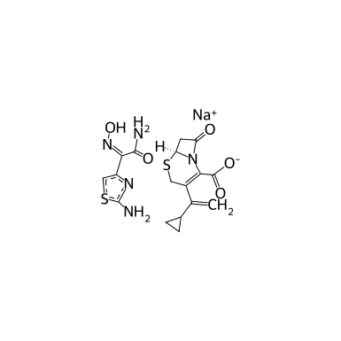 C=C(C1=C(C(=O)[O-])N2C(=O)C[C@@H]2SC1)C1CC1.NC(=O)/C(=N\O)c1csc(N)n1.[Na+]